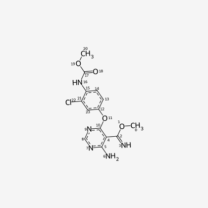 COC(=N)c1c(N)ncnc1Oc1ccc(NC(=O)OC)c(Cl)c1